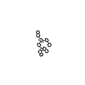 c1ccc(-c2cccc(-c3cc(-c4ccc5ccccc5c4)nc(-c4cccc(-n5c6ccc7ccccc7c6c6c7ccccc7ccc65)c4)n3)c2)cc1